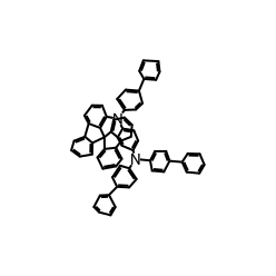 C1=CCC2C(=C1)C1(c3ccccc3-c3cccc(N(c4ccc(-c5ccccc5)cc4)c4ccc(N(c5ccc(-c6ccccc6)cc5)c5ccc(-c6ccccc6)cc5)cc4)c31)c1ccccc12